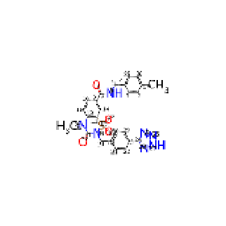 Cc1ccc(CNC(=O)c2ccc3c(c2)S(=O)(=O)N(Cc2ccc(-c4nn[nH]n4)cc2)C(=O)N3C)cc1